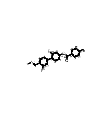 CN=Cc1ccc(-c2ccc(OC(=O)c3ccc(C)cc3)cc2F)cc1F